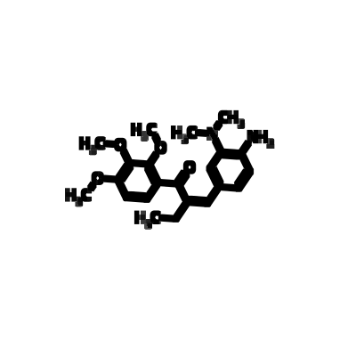 CCC(=Cc1ccc(N)c(N(C)C)c1)C(=O)c1ccc(OC)c(OC)c1OC